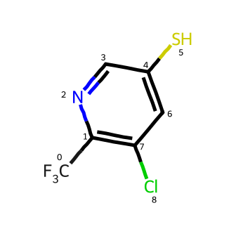 FC(F)(F)c1ncc(S)cc1Cl